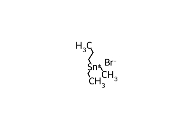 CC[CH2][Sn+]([CH2]C)[CH2]C.[Br-]